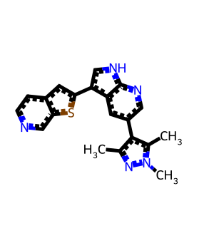 Cc1nn(C)c(C)c1-c1cnc2[nH]cc(-c3cc4ccncc4s3)c2c1